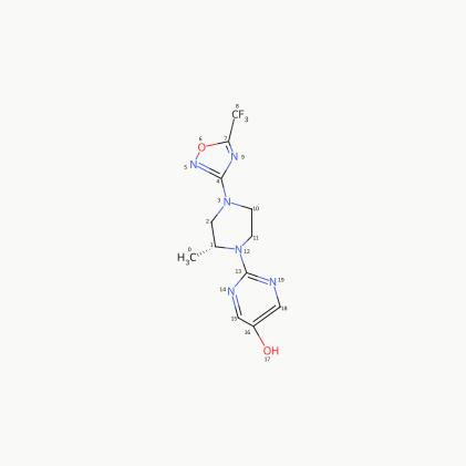 C[C@@H]1CN(c2noc(C(F)(F)F)n2)CCN1c1ncc(O)cn1